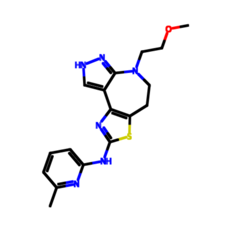 COCCN1CCc2sc(Nc3cccc(C)n3)nc2-c2c[nH]nc21